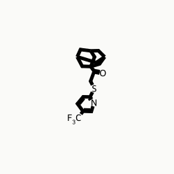 O=C(CSc1ccc(C(F)(F)F)cn1)C12CC3CC(CC(C3)C1)C2